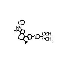 COC(OC)C1CCN(c2ccc(C3=C(C4CC4)CCCc4c3ccc3c4c(F)nn3C3CCCCO3)cc2)CC1